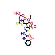 CCOC(=O)C(=C1SC(=S)N(CC(=O)O)C1=O)c1csc(NC(=O)Nc2ccccc2OC)n1.O